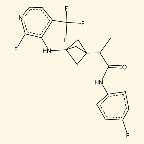 CC(C(=O)Nc1ccc(F)cc1)C12CC(Nc3c(C(F)(F)F)ccnc3F)(C1)C2